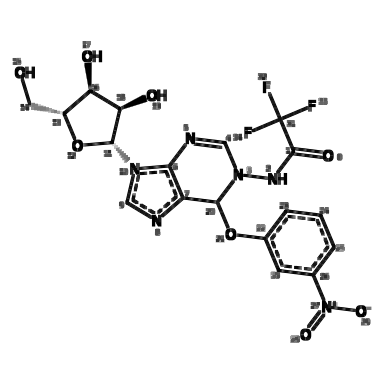 O=C(NN1C=Nc2c(ncn2[C@@H]2O[C@H](CO)[C@@H](O)[C@H]2O)C1Oc1cccc([N+](=O)[O-])c1)C(F)(F)F